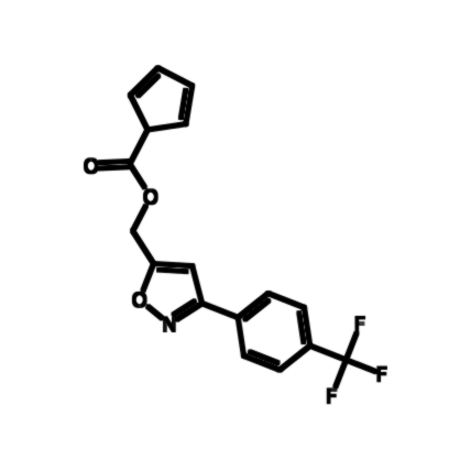 O=C(OCc1cc(-c2ccc(C(F)(F)F)cc2)no1)C1C=CC=C1